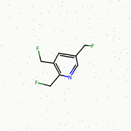 FCc1cnc(CF)c(CF)c1